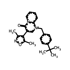 Cc1noc(C)c1-c1c[n+](Cc2ccc(C(C)(C)C)cc2)c2ccccn2c1=O